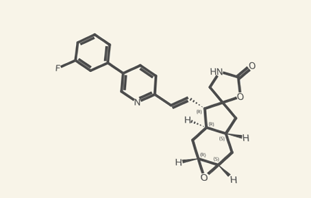 O=C1NCC2(C[C@@H]3C[C@@H]4O[C@@H]4C[C@H]3[C@@H]2C=Cc2ccc(-c3cccc(F)c3)cn2)O1